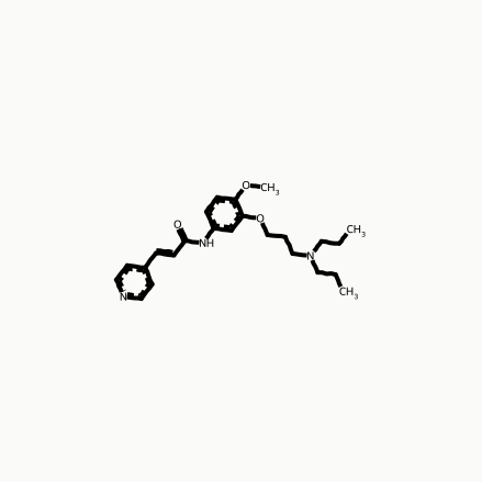 CCCN(CCC)CCCOc1cc(NC(=O)C=Cc2ccncc2)ccc1OC